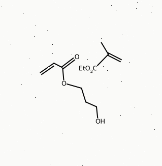 C=C(C)C(=O)OCC.C=CC(=O)OCCCO